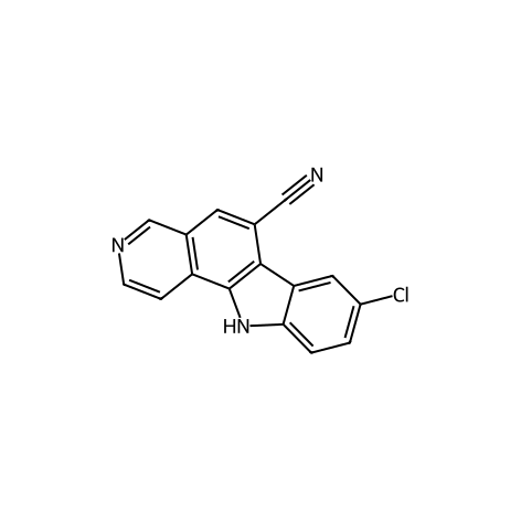 N#Cc1cc2cnccc2c2[nH]c3ccc(Cl)cc3c12